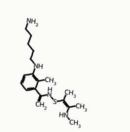 C=C(NS/C(C)=C(/C)NC)c1cccc(NCCCCCN)c1C